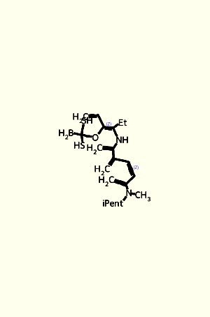 BC(S)(S)O/C(C=C)=C(/CC)NC(=C)C(=C)/C=C\C(=C)N(C)C(C)CCC